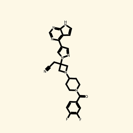 N#CCC1(n2cc(-c3ncnc4[nH]ccc34)cn2)CN(C2CCN(C(=O)c3ccc(F)c(F)c3)CC2)C1